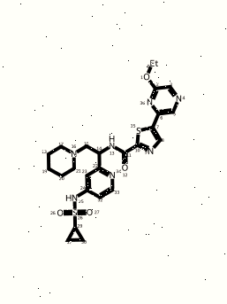 CCOc1cncc(-c2cnc(C(=O)NC(CN3CCCCC3)c3cc(NS(=O)(=O)C4CC4)ccn3)s2)n1